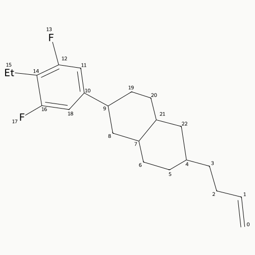 C=CCCC1CCC2CC(c3cc(F)c(CC)c(F)c3)CCC2C1